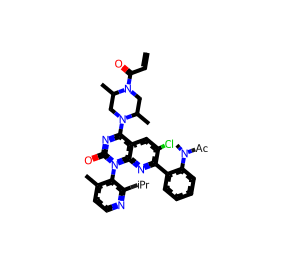 C=CC(=O)N1CC(C)N(c2nc(=O)n(-c3c(C)ccnc3C(C)C)c3nc(-c4ccccc4N(C)C(C)=O)c(Cl)cc23)CC1C